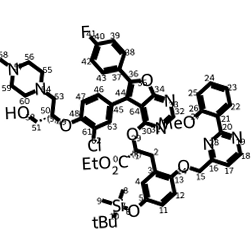 CCOC(=O)[C@@H](Cc1cc(O[Si](C)(C)C(C)(C)C)ccc1OCc1ccnc(-c2ccccc2OC)n1)Oc1ncnc2oc(-c3ccc(F)cc3)c(-c3ccc(O[C@H](CO)CN4CCN(C)CC4)c(Cl)c3)c12